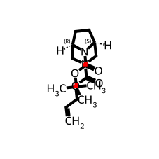 C=CCOC(=O)N1C[C@H]2CC[C@@H](C1)N2C(=O)OC(C)(C)C